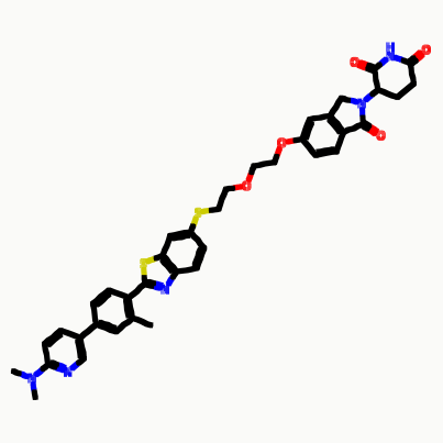 Cc1cc(-c2ccc(N(C)C)nc2)ccc1-c1nc2ccc(SCCOCCOc3ccc4c(c3)CN(C3CCC(=O)NC3=O)C4=O)cc2s1